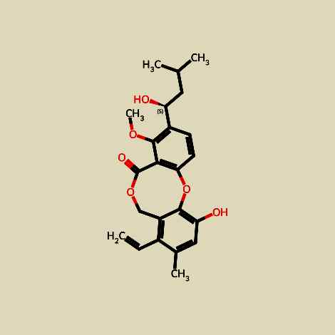 C=Cc1c(C)cc(O)c2c1COC(=O)c1c(ccc([C@@H](O)CC(C)C)c1OC)O2